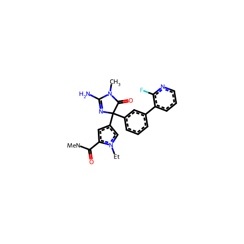 CCn1cc(C2(c3cccc(-c4cccnc4F)c3)N=C(N)N(C)C2=O)cc1C(=O)NC